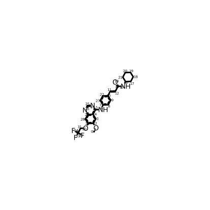 COc1cc2c(Nc3ccc(/C=C/C(=O)NC4CCCCC4)cc3)ncnc2cc1OCC(F)(F)F